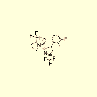 Cc1c(F)cccc1C1C[C@H](C(F)(F)F)[N][C@@H]1C(=O)N1CCCC1C(F)(F)F